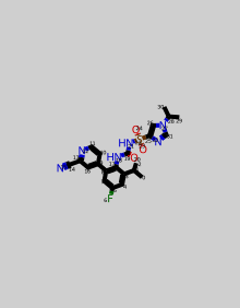 CC(C)c1cc(F)cc(-c2ccnc(C#N)c2)c1NC(=O)NS(=O)(=O)c1cn(C(C)C)cn1